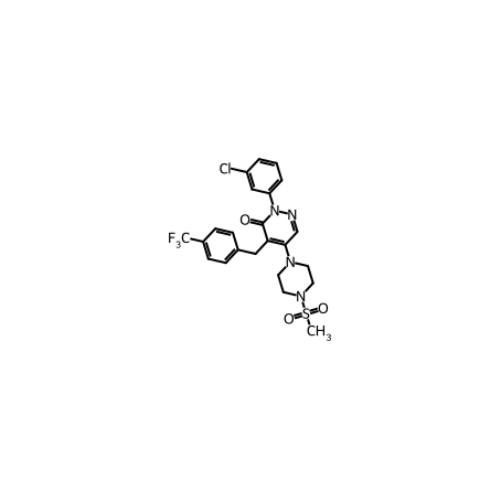 CS(=O)(=O)N1CCN(c2cnn(-c3cccc(Cl)c3)c(=O)c2Cc2ccc(C(F)(F)F)cc2)CC1